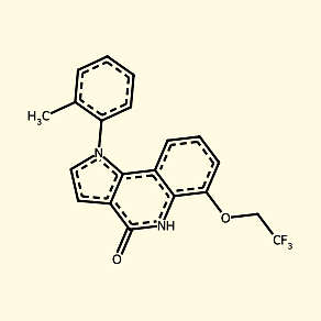 Cc1ccccc1-n1ccc2c(=O)[nH]c3c(OCC(F)(F)F)cccc3c21